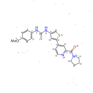 COc1ccc(NC(=S)Nc2csc(-c3ccnc(C(=O)N4CCCC4)c3)c2)cc1